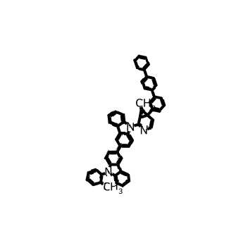 CC1C=CC=CC1n1c2ccccc2c2cc(-c3ccc4c(c3)c3ccccc3n4C3=NC=CC4(c5cccc(-c6ccc(-c7ccccc7)cc6)c5)C(C)C34)ccc21